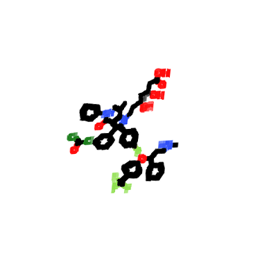 CC(C)c1c(C(=O)Nc2ccccc2)c(-c2ccccc2)c(-c2ccc(F)cc2)n1CC[C@@H](O)C[C@@H](O)CC(=O)O.CNCCC(Oc1ccc(C(F)(F)F)cc1)c1ccccc1.O=C(Cl)Cl